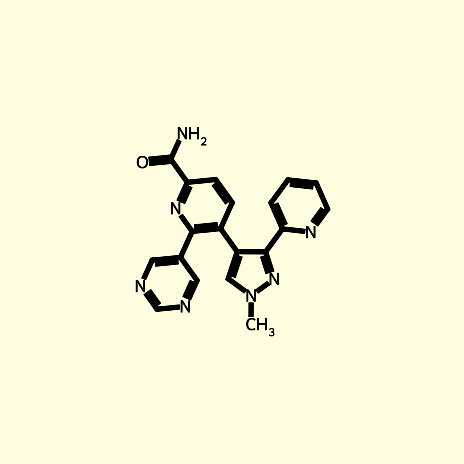 Cn1cc(-c2ccc(C(N)=O)nc2-c2cncnc2)c(-c2ccccn2)n1